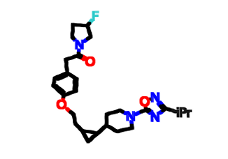 CC(C)c1noc(N2CCC(C3CC3CCOc3ccc(CC(=O)N4CCC(F)C4)cc3)CC2)n1